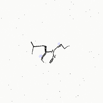 C=NN(/C=C\CC)/C(=C\C)CC(C)C